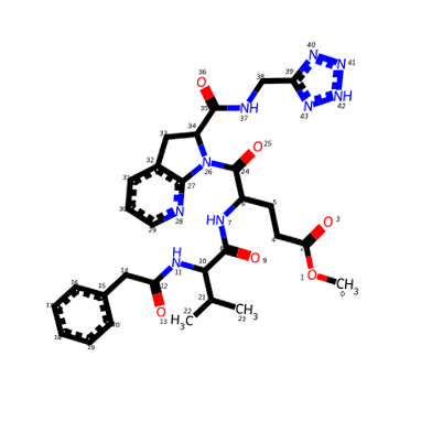 COC(=O)CCC(NC(=O)C(NC(=O)Cc1ccccc1)C(C)C)C(=O)N1c2ncccc2CC1C(=O)NCc1nn[nH]n1